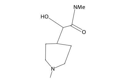 CNC(=O)C(O)C1CCN(C)CC1